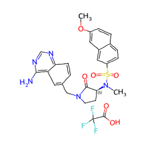 COc1ccc2ccc(S(=O)(=O)N(C)[C@H]3CCN(Cc4ccc5ncnc(N)c5c4)C3=O)cc2c1.O=C(O)C(F)(F)F